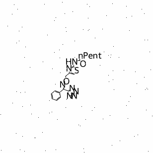 CCCCCC(=O)Nc1nc(CON=C(c2ccccc2)c2nnnn2C)cs1